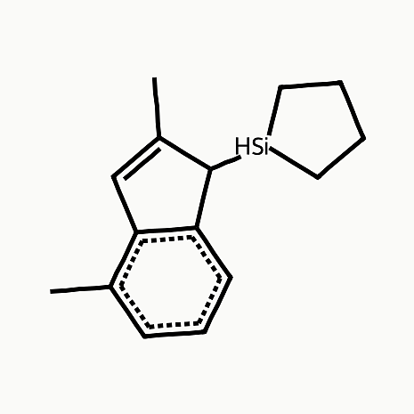 CC1=Cc2c(C)cccc2C1[SiH]1CCCC1